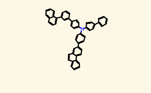 c1ccc(-c2ccc(N(c3ccc(-c4cccc(-c5cccc6ccccc56)c4)cc3)c3ccc(-c4ccc5c(ccc6ccccc65)c4)cc3)cc2)cc1